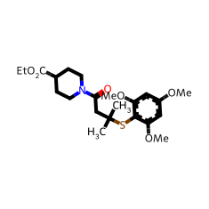 CCOC(=O)C1CCN(C(=O)CC(C)(C)Sc2c(OC)cc(OC)cc2OC)CC1